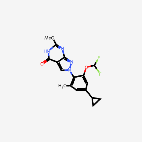 COc1nc2nn(-c3c(C)cc(C4CC4)cc3OC(F)F)cc2c(=O)[nH]1